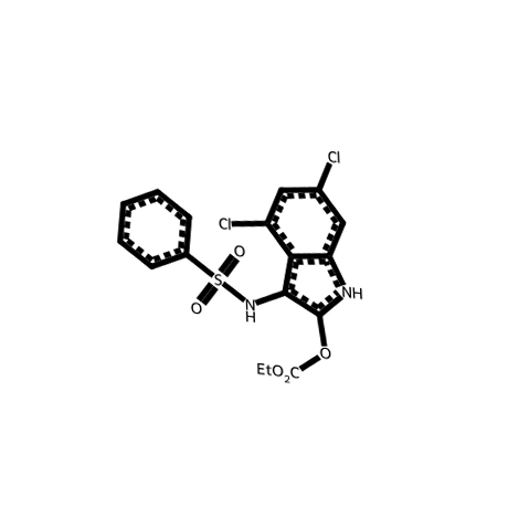 CCOC(=O)Oc1[nH]c2cc(Cl)cc(Cl)c2c1NS(=O)(=O)c1ccccc1